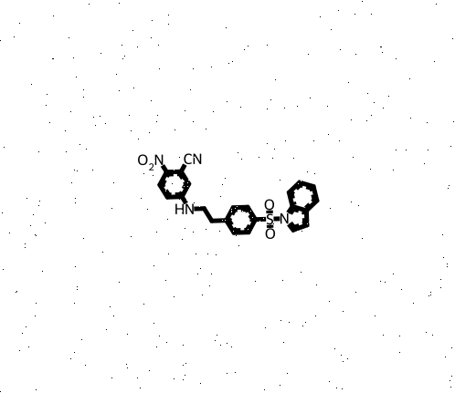 N#Cc1cc(NCCc2ccc(S(=O)(=O)n3ccc4ccccc43)cc2)ccc1[N+](=O)[O-]